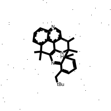 CC1c2cnc3cccc4c3c2C2=C(N=C3C(CC(C)(C)C)=CC=CC3(C)C1(C)N2)C4(C)C